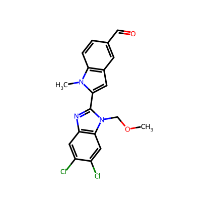 COCn1c(-c2cc3cc(C=O)ccc3n2C)nc2cc(Cl)c(Cl)cc21